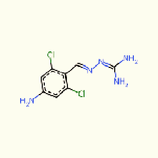 NC(N)=NN=Cc1c(Cl)cc(N)cc1Cl